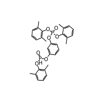 Cc1cccc(C)c1O[PH](=O)Oc1cccc(OP(=O)(Oc2c(C)cccc2C)Oc2c(C)cccc2C)c1